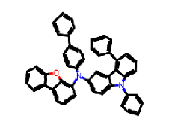 c1ccc(-c2ccc(N(c3ccc4c(c3)c3c(-c5ccccc5)cccc3n4-c3ccccc3)c3cccc4c3oc3ccccc34)cc2)cc1